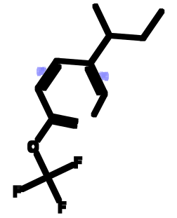 C=C(/C=C\C(=C/C)C(C)CC)OC(F)(F)F